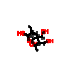 CCC(CO)C(C=C(C)C(=O)O)(CO)CO